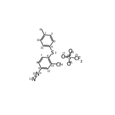 Cc1ccc(Sc2ccc([N+]#N)cc2Cl)cc1.O=S(=O)([O-])C(F)(F)F